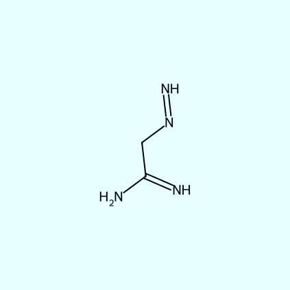 N=NCC(=N)N